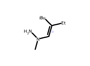 CC/C(=C/N(C)N)C(C)CC